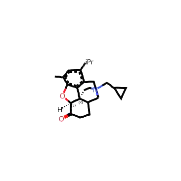 Cc1cc(C(C)C)c2c3c1O[C@@H]1C(=O)CCC4C(C2)N(CC2CC2)CC[C@]341